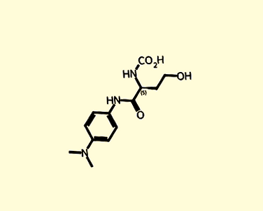 CN(C)c1ccc(NC(=O)[C@H](CCO)NC(=O)O)cc1